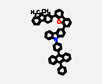 CC1(C)C2=C(CCC(c3cccc4c3oc3c(-c5ccc6c(c5)c5ccccc5n6-c5ccc(-c6c7ccccc7c(-c7ccccc7)c7ccccc67)cc5)cccc34)=C2)c2ccccc21